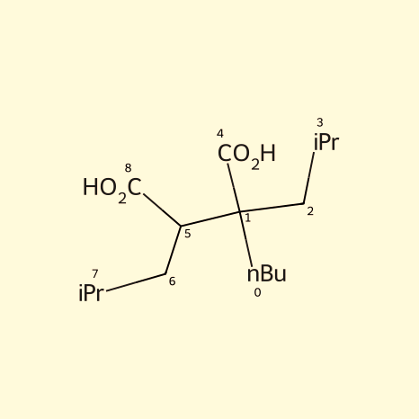 CCCCC(CC(C)C)(C(=O)O)C(CC(C)C)C(=O)O